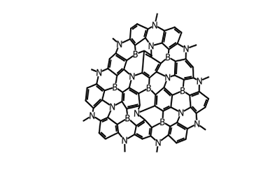 CN1c2ccc3c4c2B2c5c1cc1c6c5N5c7c2c2c8c9c7B7c%10c5c5c%11c%12c%10N%10c%13c%14c(cc%15c%13B%13c%16c(ccc%17c%16N%16c%18c(ccc%19c%18B%18c%20c(cc%21c(c%20N9c9c%18c%16c%13c%10c97)B8c7c(ccc(c7N42)N3C)N%21C)N%19C)N%17C)N%15C)N(C)c2ccc3c(c2B%14%12)N%11c2c(ccc(c2B65)N1C)N3C